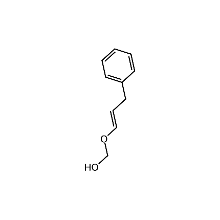 OCOC=CCc1ccccc1